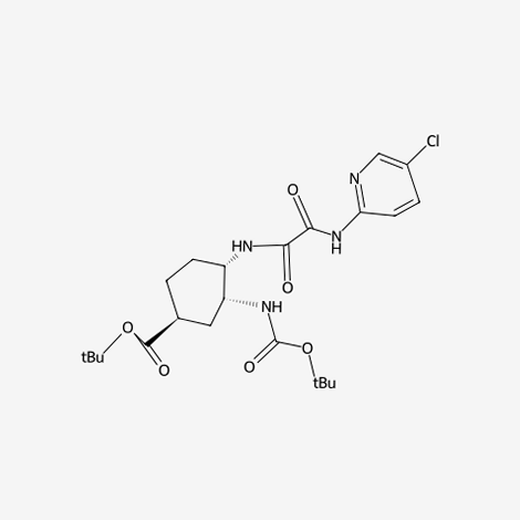 CC(C)(C)OC(=O)N[C@@H]1C[C@@H](C(=O)OC(C)(C)C)CC[C@@H]1NC(=O)C(=O)Nc1ccc(Cl)cn1